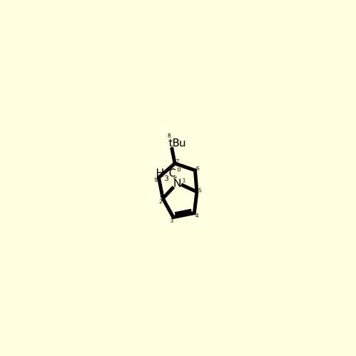 CN1C2C=CC1CC(C(C)(C)C)C2